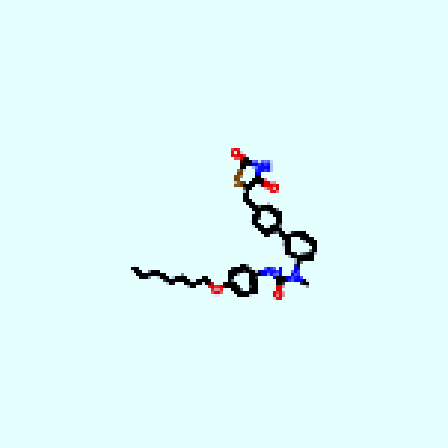 CCCCCCCOc1ccc(NC(=O)N(C)c2cccc(-c3ccc(CC4SC(=O)NC4=O)cc3)c2)cc1